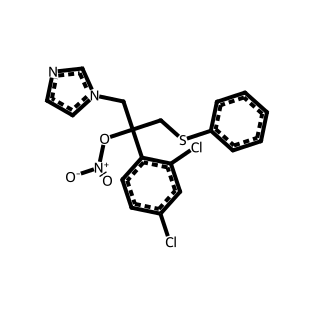 O=[N+]([O-])OC(CSc1ccccc1)(Cn1ccnc1)c1ccc(Cl)cc1Cl